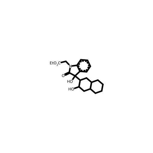 CCOC(=O)CN1C(=O)C(O)(C2CC3CCCCC3CC2O)c2ccccc21